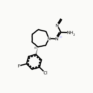 C=N/C(N)=N\N1CCCC[C@@H](c2cc(F)cc(Cl)c2)C1